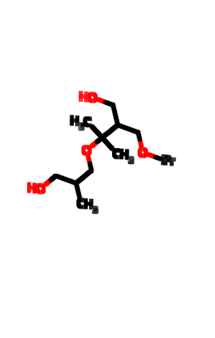 CC(CO)COC(C)(C)C(CO)COC(C)C